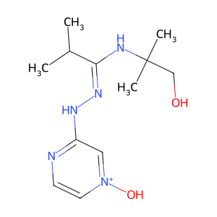 CC(C)/C(=N\Nc1c[n+](O)ccn1)NC(C)(C)CO